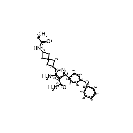 C=CC(=O)NC1CC2(C1)CC(n1nc(-c3ccc(Oc4ccccc4)cc3)c(C(N)=O)c1N)C2